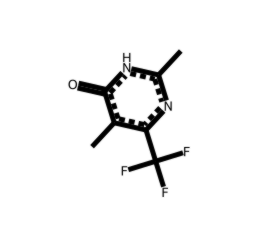 Cc1nc(C(F)(F)F)c(C)c(=O)[nH]1